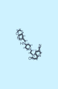 N#Cc1cnc2ccc(=O)n(CCN3CCC(NCc4cc5c(nn4)OCCS5)CC3)c2c1